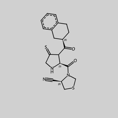 N#C[C@@H]1CSCN1C(=O)[C@H]1NCC(=S)C1C(=O)[C@@H]1CCc2ccccc2C1